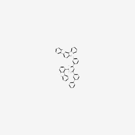 c1ccc(-c2cccc(-c3cc(-c4cccc(-n5c6ccccc6c6c7sc8ccccc8c7ccc65)c4)nc(-c4cccc5sc6ccccc6c45)n3)c2)cc1